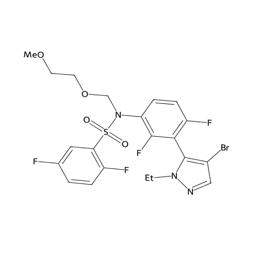 CCn1ncc(Br)c1-c1c(F)ccc(N(COCCOC)S(=O)(=O)c2cc(F)ccc2F)c1F